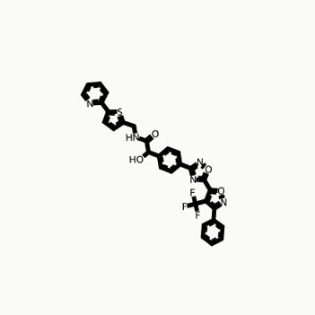 O=C(NCc1ccc(-c2ccccn2)s1)C(O)c1ccc(-c2noc(-c3onc(-c4ccccc4)c3C(F)(F)F)n2)cc1